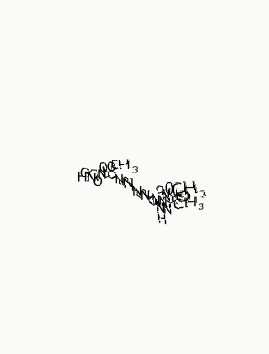 COc1cc(N2CCN(CCN3CCN(c4ccc(Nc5ncc6c(C)c(C(C)=O)c(=O)n(C7CCCC7)c6n5)nc4)CC3)CC2)cc2c1C(=O)N(C1CCC(=O)NC1=O)C2